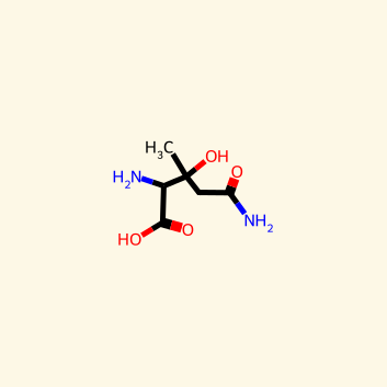 CC(O)(CC(N)=O)C(N)C(=O)O